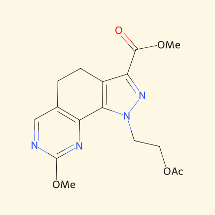 COC(=O)c1nn(CCOC(C)=O)c2c1CCc1cnc(OC)nc1-2